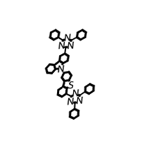 c1ccc(-c2nc(-c3ccccc3)nc(-c3ccc4c(c3)c3ccccc3n4-c3ccc4sc5c(-c6nc(-c7ccccc7)nc(-c7ccccc7)n6)cccc5c4c3)n2)cc1